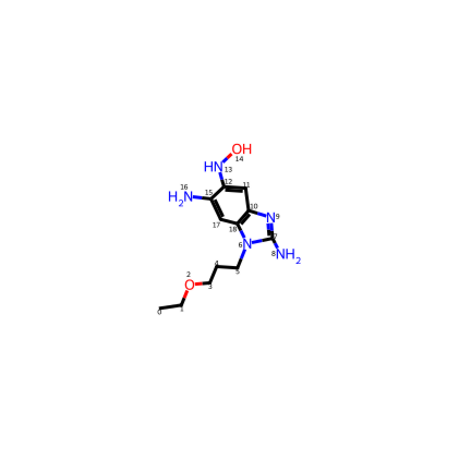 CCOCCCn1c(N)nc2cc(NO)c(N)cc21